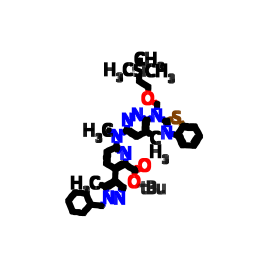 Cc1cc(N(C)c2ccc(-c3cnn(CC4CCCCC4)c3C)c(C(=O)OC(C)(C)C)n2)nnc1N(COCC[Si](C)(C)C)c1nc2ccccc2s1